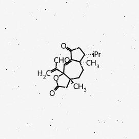 C=C(C=O)[C@@]12C=C3C(=O)C[C@H](C(C)C)[C@@]3(C)CC[C@]1(C)CC(=O)O2